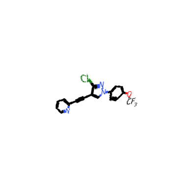 FC(F)(F)Oc1ccc(-n2cc(C#Cc3ccccn3)c(Cl)n2)cc1